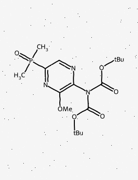 COc1nc(P(C)(C)=O)cnc1N(C(=O)OC(C)(C)C)C(=O)OC(C)(C)C